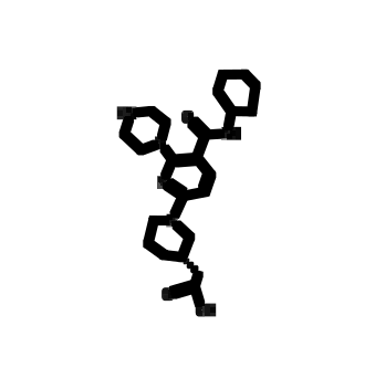 O=C(O)C[C@@H]1CCCN(c2ccc(C(=O)NC3CCCCC3)c(N3CCNCC3)n2)C1